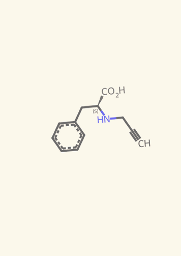 C#CCN[C@@H](Cc1ccccc1)C(=O)O